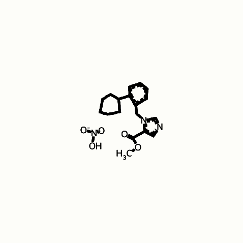 COC(=O)c1cncn1Cc1ccccc1C1CCCCC1.O=[N+]([O-])O